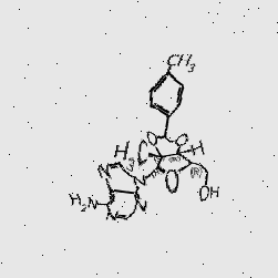 Cc1ccc(C2O[C@@H]3[C@@H](CO)O[C@@H](n4cnc5c(N)ncnc54)[C@]3(C)O2)cc1